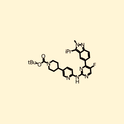 CC(C)c1c2cc(-c3nc(Nc4ccc(C5CCN(C(=O)OC(C)(C)C)CC5)cn4)ncc3F)ccc2nn1C